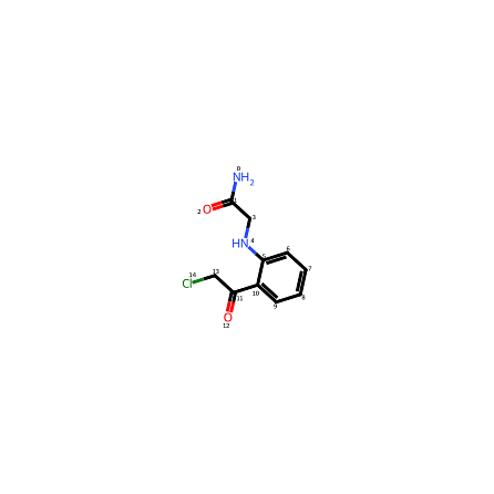 NC(=O)CNc1ccccc1C(=O)CCl